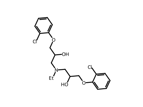 CCN(CC(O)COc1ccccc1Cl)CC(O)COc1ccccc1Cl